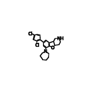 Clc1ccc(-c2cc3c(c(N4CCCCCC4)c2)OC2CCNCC32)c(Cl)c1